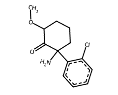 COC1CCCC(N)(c2ccccc2Cl)C1=O